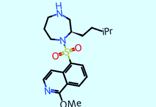 COc1nccc2c(S(=O)(=O)N3CCCNC[C@H]3CCC(C)C)cccc12